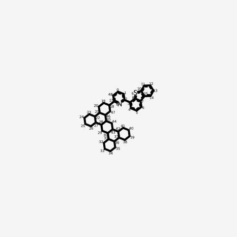 c1cc(-c2cccc3c2sc2ccccc23)nc(C2CCC3C4CCCCC4C4CC5C6CCCCC6C6CCCCC6C5CC4C3C2)c1